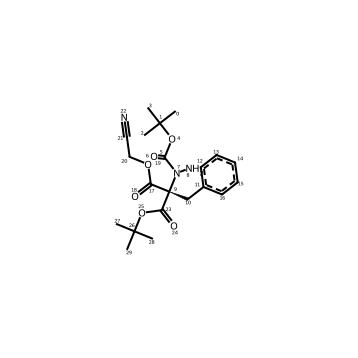 CC(C)(C)OC(=O)N(N)[C@@](Cc1ccccc1)(C(=O)OCC#N)C(=O)OC(C)(C)C